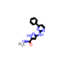 CNC(=O)c1cc(Nc2nccc(-c3ccccc3)n2)n[nH]1